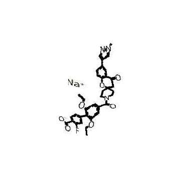 CCOc1cc(C(=O)N2CCC3(CC2)CC(=O)c2cc(-c4cnn(C)c4)ccc2O3)cc(OCC)c1-c1ccc(C(=O)[O-])c(F)c1.[Na+]